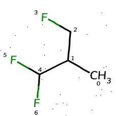 CC(CF)C(F)F